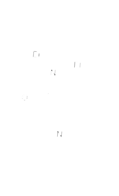 CCN(CC)C(=O)C1CCCCN1C